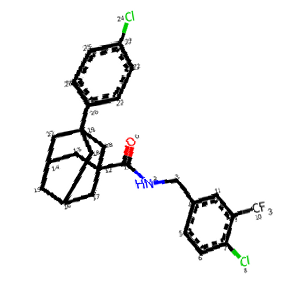 O=C(NCc1ccc(Cl)c(C(F)(F)F)c1)C12CC3CC(C1)CC(c1ccc(Cl)cc1)(C3)C2